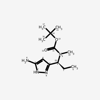 CC[C@@H](c1cc(N)[nH]n1)N(C)C(=O)OC(C)(C)C